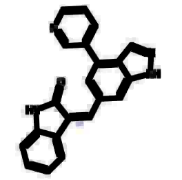 O=C1Nc2ccccc2/C1=C/c1cc(-c2cccnc2)c2cn[nH]c2c1